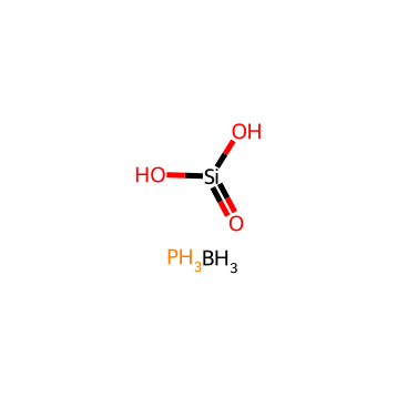 B.O=[Si](O)O.P